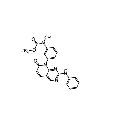 CN(C(=O)OC(C)(C)C)c1cccc(-n2c(=O)ccc3cnc(Nc4ccccc4)nc32)c1